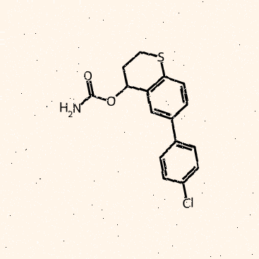 NC(=O)OC1CCSc2ccc(-c3ccc(Cl)cc3)cc21